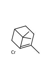 CC1=C2CC(CC1)C2(C)C.[Cr]